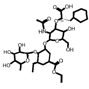 CCOC(=O)C1CC(CC)C(OC2OC(C)C(O)C(O)C2O)C(OC2OC(CO)C(O)C(O[C@@H](CC3CCCCC3)C(=O)O)C2NC(C)=O)C1